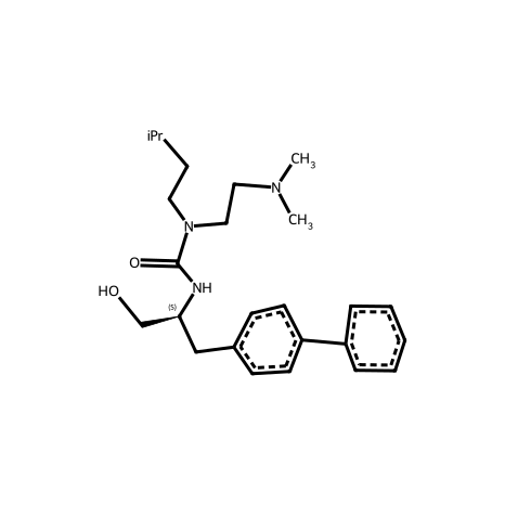 CC(C)CCN(CCN(C)C)C(=O)N[C@H](CO)Cc1ccc(-c2ccccc2)cc1